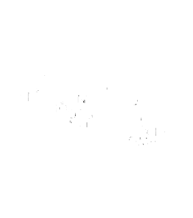 COc1ccc(Oc2ccc3c(c2)C[C@@H](N(C[C@@H](O)c2cccc(Cl)c2)C(=O)OC(C)(C)C)CC3)cc1C=O